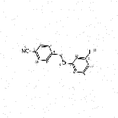 N#Cc1ccc(COc2cc[c]c(F)c2)cc1